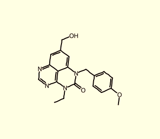 CCN1C(=O)N(Cc2ccc(OC)cc2)c2cc(CO)cc3ncnc1c23